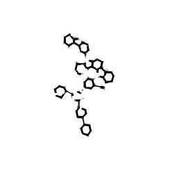 N#Cc1cc(-c2nc(-c3ccccc3)nc(-c3ccc(-c4ccccc4)cc3)n2)ccc1-n1c2ccccc2c2ccc3c(c4ccccc4n3-c3ccc4oc5ccccc5c4c3)c21